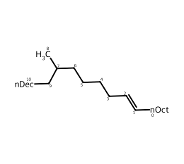 CCCCCCCCC=CCCCCC(C)CCCCCCCCCCC